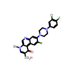 CCn1cc(C(=O)O)c(=O)c2c3cc(F)c(N4CCN(c5ccc(F)c(Cl)c5)CC4)cc3ncc21